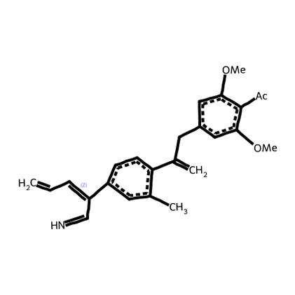 C=C/C=C(\C=N)c1ccc(C(=C)Cc2cc(OC)c(C(C)=O)c(OC)c2)c(C)c1